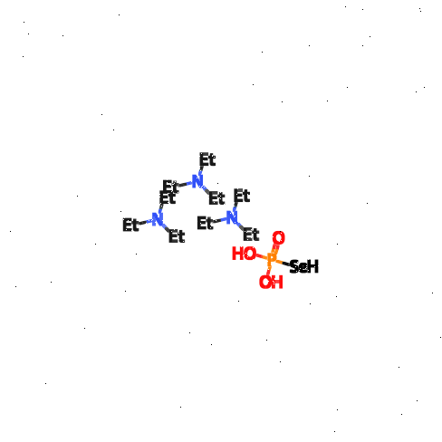 CCN(CC)CC.CCN(CC)CC.CCN(CC)CC.O=P(O)(O)[SeH]